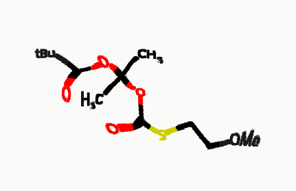 COCCSC(=O)OC(C)(C)OC(=O)C(C)(C)C